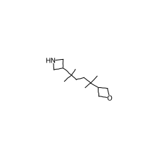 CC(C)(CCC(C)(C)C1COC1)C1CNC1